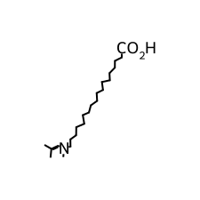 CC(C)=CN(C)CCCCCCCCCCCCCCCCCC(=O)O